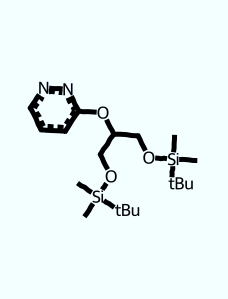 CC(C)(C)[Si](C)(C)OCC(CO[Si](C)(C)C(C)(C)C)Oc1cccnn1